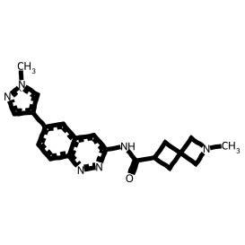 CN1CC2(CC(C(=O)Nc3cc4cc(-c5cnn(C)c5)ccc4nn3)C2)C1